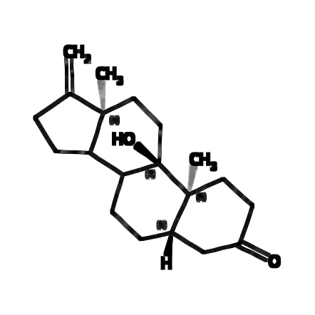 C=C1CCC2C3CC[C@H]4CC(=O)CC[C@]4(C)[C@@]3(O)CC[C@]12C